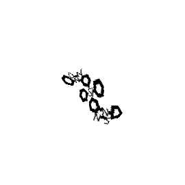 c1ccc([Si](c2ccccc2)(c2ccc3nc4oc5ccccc5n4c3c2)c2ccc3nc4sc5ccccc5n4c3c2)cc1